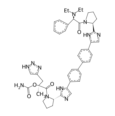 CCN(CC)[C@@H](C(=O)N1CCC[C@H]1c1ncc(-c2ccc(-c3ccc(-c4cnc([C@@H]5CCCN5C(=O)[C@](C)(Cc5c[nH]nn5)OC(N)=O)[nH]4)cc3)cc2)[nH]1)c1ccccc1